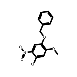 COc1cc(Cl)c([N+](=O)[O-])cc1OCc1ccccc1